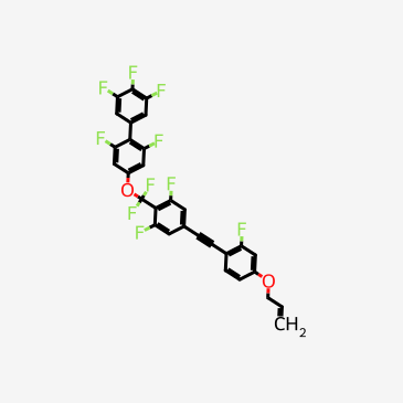 C=CCOc1ccc(C#Cc2cc(F)c(C(F)(F)Oc3cc(F)c(-c4cc(F)c(F)c(F)c4)c(F)c3)c(F)c2)c(F)c1